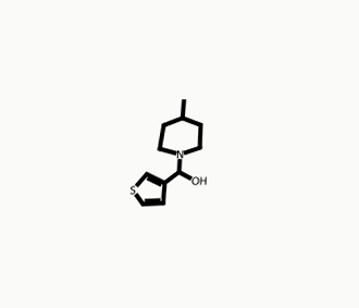 CC1CCN(C(O)c2ccsc2)CC1